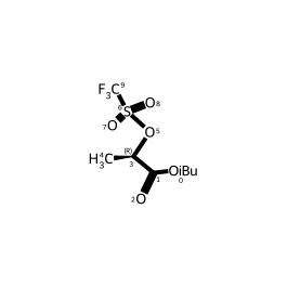 CC(C)COC(=O)[C@@H](C)OS(=O)(=O)C(F)(F)F